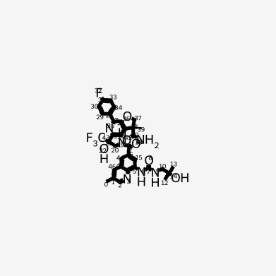 Cc1cnc2c(NC(=O)NCC(C)(C)O)cc(C(=O)NCC(O)(c3cc4c(c(-c5ccc(F)cc5)n3)OC[C@]4(C)C(N)=O)C(F)(F)F)cc2c1